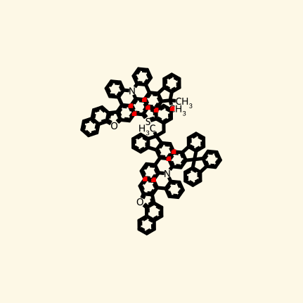 CC1(C)c2ccccc2-c2c(-c3ccccc3N(c3ccc4sc5c(CC6(C)c7ccccc7-c7c(-c8ccccc8N(c8ccc9c(c8)C8(c%10ccccc%10-c%10ccccc%108)c8ccccc8-9)c8ccccc8-c8cccc9oc%10c%11ccccc%11ccc%10c89)cccc76)cccc5c4c3)c3ccccc3-c3cccc4oc5c6ccccc6ccc5c34)cccc21